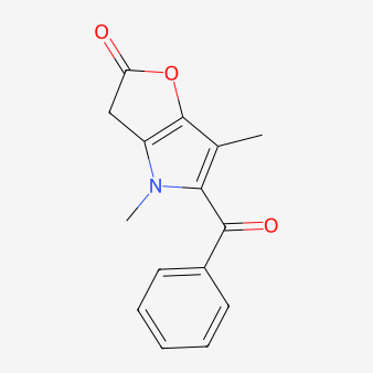 Cc1c2c(n(C)c1C(=O)c1ccccc1)CC(=O)O2